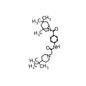 CC1(C)CC2CC(C)(CN2C(=O)c2ccc(NC(=O)CN3CCC(C(C)(C)C)CC3)cc2)C1